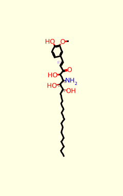 CCCCCCCCCCCCCC[C@@H](O)[C@@H](O)[C@@H](N)C(O)C(=O)/C=C/c1ccc(O)c(OC)c1